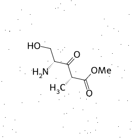 COC(=O)[C@H](C)C(=O)[C@H](N)CO